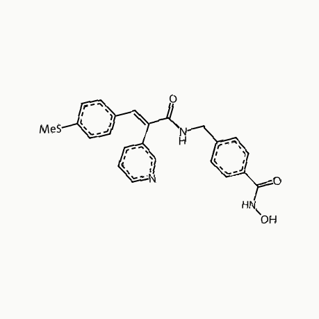 CSc1ccc(C=C(C(=O)NCc2ccc(C(=O)NO)cc2)c2cccnc2)cc1